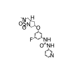 CN1C[C@@H]2C[C@@H](Oc3cc(F)cc(NC(=O)Nc4cccnc4)c3)CN2S1(=O)=O